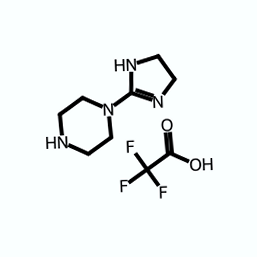 C1CNC(N2CCNCC2)=N1.O=C(O)C(F)(F)F